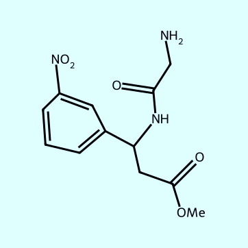 COC(=O)CC(NC(=O)CN)c1cccc([N+](=O)[O-])c1